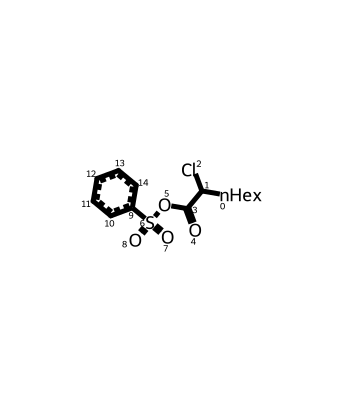 CCCCCCC(Cl)C(=O)OS(=O)(=O)c1ccccc1